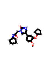 COc1ccc(-c2cnc(=O)n(Cc3nc4ccccc4o3)c2)cc1OC1CCCC1